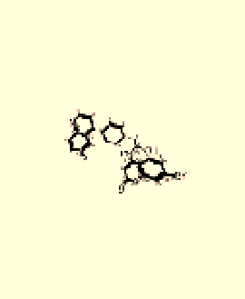 C[C@H](C[C@H]1CC[C@H](c2ccnc3ccc(F)cc32)CC1)Nc1cc(=O)oc2cc(Br)ccc12